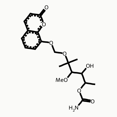 COC(C(O)C(C)OC(N)=O)C(C)(C)OCOc1cccc2ccc(=O)oc12